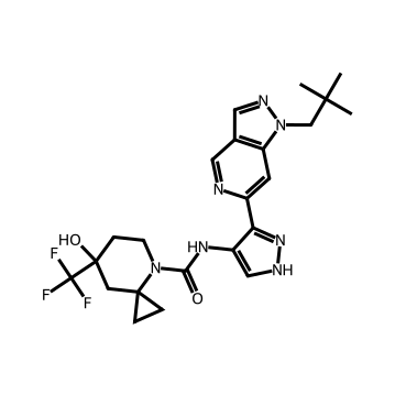 CC(C)(C)Cn1ncc2cnc(-c3n[nH]cc3NC(=O)N3CCC(O)(C(F)(F)F)CC34CC4)cc21